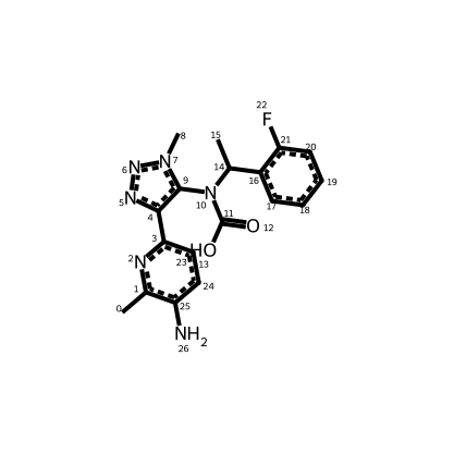 Cc1nc(-c2nnn(C)c2N(C(=O)O)C(C)c2ccccc2F)ccc1N